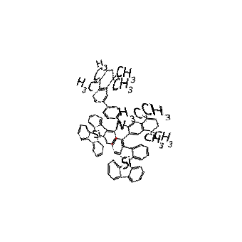 CC1(C)CCC(C)(C)c2cc(-c3ccc(N(c4cc5c(cc4-c4cccc6c4-c4ccccc4[Si]64c6ccccc6-c6ccccc64)C(C)(C)CCC5(C)C)c4cccc5c4-c4ccccc4[Si]54c5ccccc5-c5ccccc54)cc3)ccc21